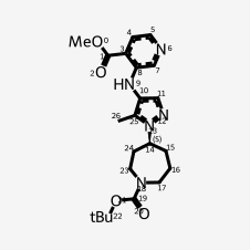 COC(=O)c1ccncc1Nc1cnn([C@H]2CCCN(C(=O)OC(C)(C)C)CC2)c1C